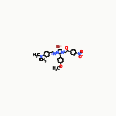 COc1ccc(-c2n(/N=C/c3ccc(N(C)C)cc3)cc[n+]2CC(=O)c2ccc([N+](=O)[O-])cc2)cc1.[Br-]